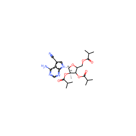 CC(C)C(=O)OCC1O[C@@H](n2cc(C#N)c3c(N)ncnc32)[C@](C)(OC(=O)C(C)C)C1OC(=O)C(C)C